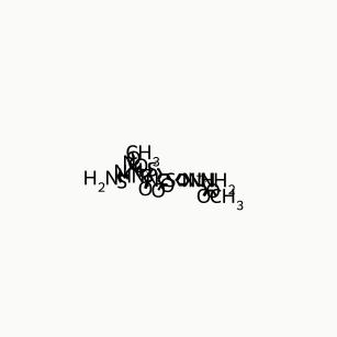 CO/N=C(\C(=O)N[C@@H]1C(=O)N2C(C(=O)[O-])=C(CSc3cc[n+](NC[C@H](N)C(=O)OC)cc3)CS[C@H]12)c1csc(N)n1